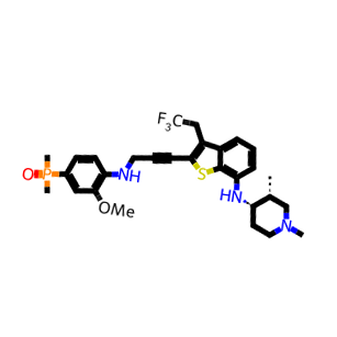 COc1cc(P(C)(C)=O)ccc1NCC#Cc1sc2c(N[C@H]3CCN(C)C[C@H]3C)cccc2c1CC(F)(F)F